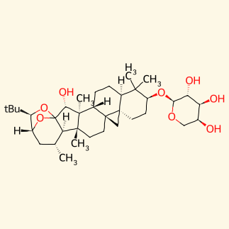 C[C@@H]1C[C@H]2OC3(O[C@@H]2C(C)(C)C)[C@H](O)[C@@]2(C)[C@@H]4CC[C@H]5C(C)(C)[C@@H](O[C@@H]6OC[C@H](O)[C@H](O)[C@H]6O)CC[C@@]56C[C@@]46CC[C@]2(C)[C@@H]13